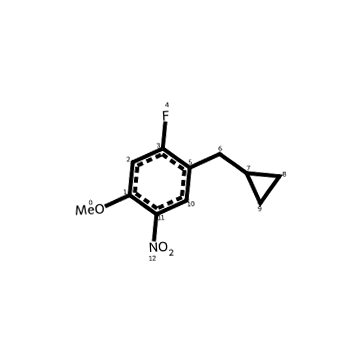 COc1cc(F)c(CC2CC2)cc1[N+](=O)[O-]